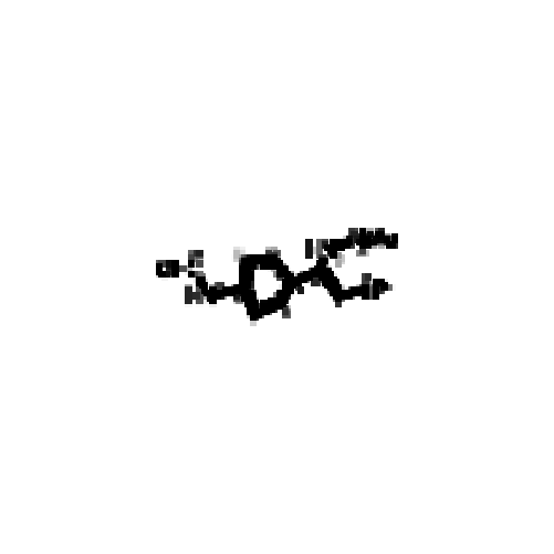 CCC/C=C(\NNC)c1ccc(NC=O)cc1